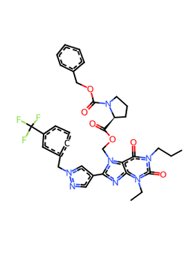 CCCn1c(=O)c2c(nc(-c3cnn(Cc4cccc(C(F)(F)F)c4)c3)n2COC(=O)[C@@H]2CCCN2C(=O)OCc2ccccc2)n(CC)c1=O